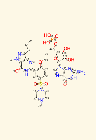 CCCc1nn(C)c2c(=O)[nH]c(-c3cc(S(=O)(=O)N4CCN(C)CC4)ccc3OCC)nc12.Nc1nc2c(ncn2[C@@H]2O[C@H](COP(=O)(O)O)[C@@H](O)[C@H]2O)c(=O)[nH]1